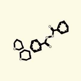 C1CCOCC1.C1CCOCC1.O=C(OOC(=O)c1ccccc1)c1ccccc1